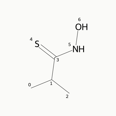 CC(C)C(=S)NO